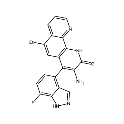 CCc1cc2c(-c3ccc(F)c4[nH]ncc34)c(N)c(=O)[nH]c2c2ncccc12